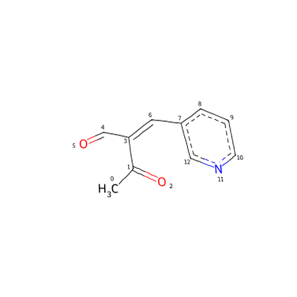 CC(=O)/C(C=O)=C\c1cccnc1